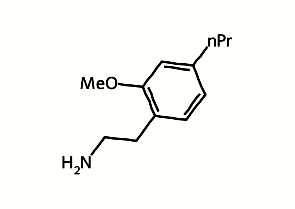 CCCc1ccc(CCN)c(OC)c1